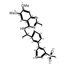 COc1cc2nc(C)nc(NC(C)c3cccc(-c4cncc(S(C)(=O)=O)c4)c3)c2cc1OC